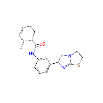 CC1C=CCCC1C(=O)Nc1cccc(C2CN3CCSC3=N2)c1